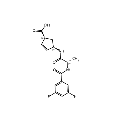 C[C@H](NC(=O)c1cc(F)cc(F)c1)C(=O)N[C@H]1C=C[C@@H](C(=O)O)C1